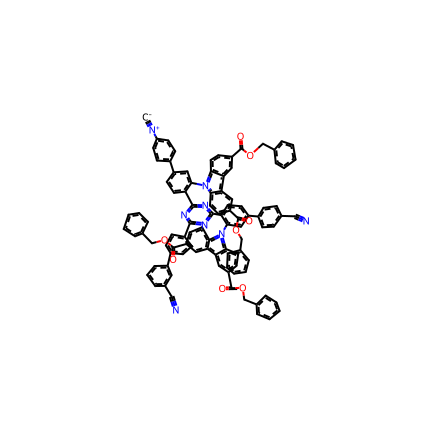 [C-]#[N+]c1ccc(-c2ccc(-c3nc(-c4ccc(-c5cccc(C#N)c5)cc4)nc(-c4ccc(-c5ccc(C#N)cc5)cc4-n4c5ccc(C(=O)OCc6ccccc6)cc5c5cc(C(=O)OCc6ccccc6)ccc54)n3)c(-n3c4ccc(C(=O)OCc5ccccc5)cc4c4cc(C(=O)OCc5ccccc5)ccc43)c2)cc1